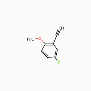 C#Cc1cc(F)ccc1OC